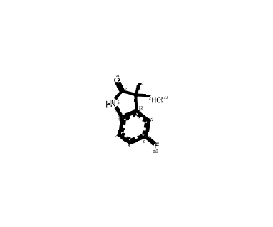 CC1(C)C(=O)Nc2ccc(F)cc21.Cl